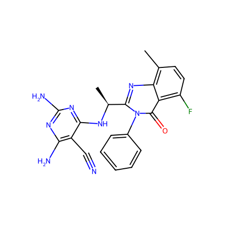 Cc1ccc(F)c2c(=O)n(-c3ccccc3)c([C@H](C)Nc3nc(N)nc(N)c3C#N)nc12